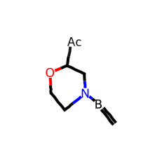 C=BN1CCOC(C(C)=O)C1